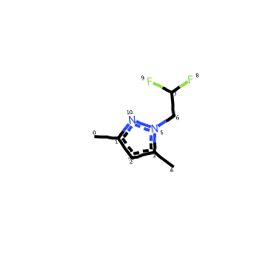 Cc1[c]c(C)n(CC(F)F)n1